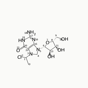 CC(Cl)N1CN([C@@H]2O[C@H](CO)[C@@H](O)[C@H]2O)c2nc(N)[nH]c(=O)c21